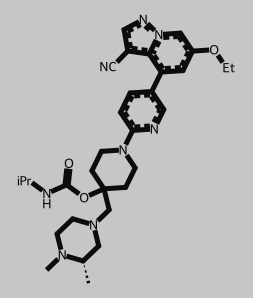 CCOc1cc(-c2ccc(N3CCC(CN4CCN(C)[C@@H](C)C4)(OC(=O)NC(C)C)CC3)nc2)c2c(C#N)cnn2c1